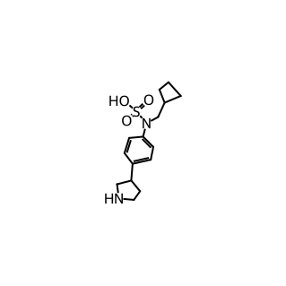 O=S(=O)(O)N(CC1CCC1)c1ccc(C2CCNC2)cc1